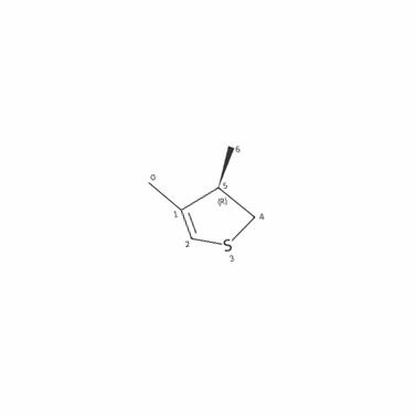 CC1=CSC[C@@H]1C